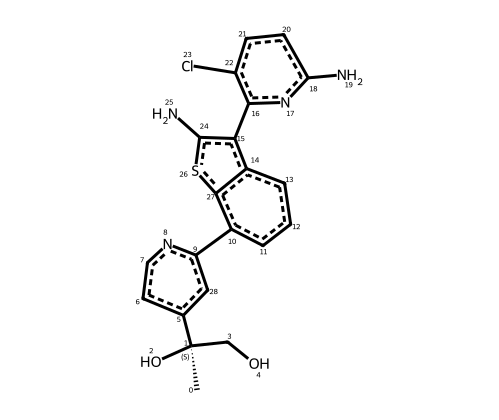 C[C@@](O)(CO)c1ccnc(-c2cccc3c(-c4nc(N)ccc4Cl)c(N)sc23)c1